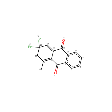 CC1=C2C(=O)c3ccccc3C(=O)C2=CC(Br)(Br)C1